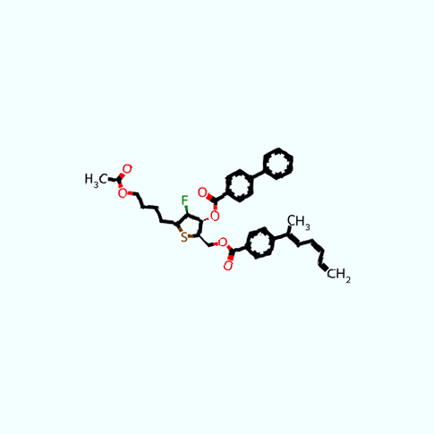 C=C/C=C\C=C(/C)c1ccc(C(=O)OC[C@H]2SC(CCCCOC(C)=O)[C@@H](F)[C@@H]2OC(=O)c2ccc(-c3ccccc3)cc2)cc1